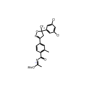 CO/C(C)=N/C(=O)c1ccc(C2=NOC(c3cc(Cl)cc(Cl)c3)(C(F)(F)F)C2)cc1C